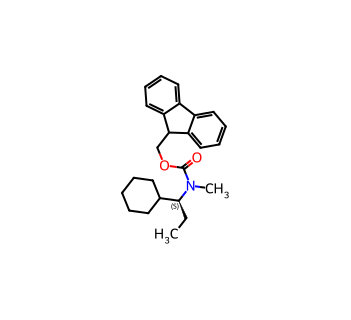 CC[C@@H](C1CCCCC1)N(C)C(=O)OCC1c2ccccc2-c2ccccc21